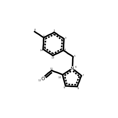 Cc1ccc(Cn2cccc2C=O)cc1